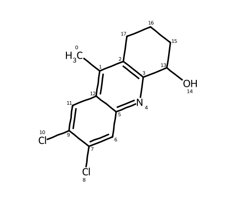 Cc1c2c(nc3cc(Cl)c(Cl)cc13)C(O)CCC2